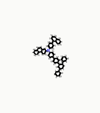 c1ccc(-c2ccc(-c3ccccc3)c(-c3ccc(-c4ccc(N(c5ccc(-c6cccc7ccccc67)cc5)c5ccc6c(ccc7ccccc76)c5)cc4)cc3)c2)cc1